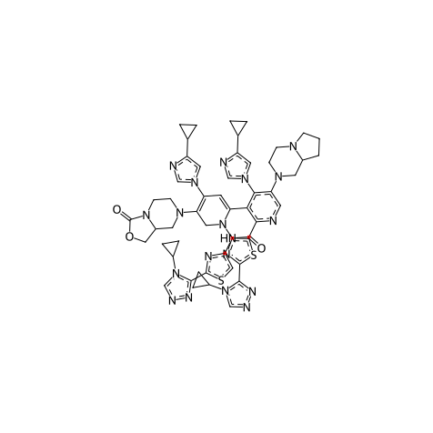 O=C(Nc1csc(-c2nncn2C2CC2)n1)c1ncc(N2CCN3CCCC3C2)c(-n2cnc(C3CC3)c2)c1C1=CC(n2cnc(C3CC3)c2)=C(N2CCN3C(=O)OCC3C2)CN1c1csc(-c2nncn2C2CC2)n1